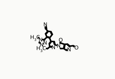 CCc1cc(-c2ccc(C#N)cc2-c2nncn2C)cc(N2Cc3cnc(C=O)cc3C2=O)n1